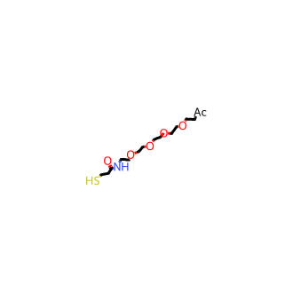 CC(=O)CCOCCOCCOCCOCCNC(=O)CCS